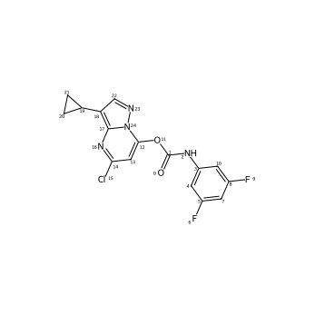 O=C(Nc1cc(F)cc(F)c1)Oc1cc(Cl)nc2c(C3CC3)cnn12